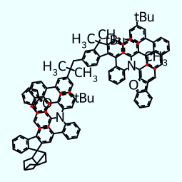 CC1CC=c2c(oc3ccccc23)=C1N(c1ccccc1-c1cccc2c1-c1ccc(CC(C)(C)c3cc(-c4cccc5cccc(-c6ccccc6N(c6ccccc6-c6ccc7c(c6)C6(c8ccccc8-7)C7CC8CC(C7)C6C8)c6cccc7c6oc6ccccc67)c45)cc(C(C)(C)C)c3)cc1C2(C)C)c1ccccc1-c1cccc2cccc(-c3cc(C(C)(C)C)cc(C(C)(C)C)c3)c12